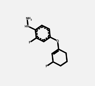 NNc1ccc(OC2=CC(F)CCC2)cc1F